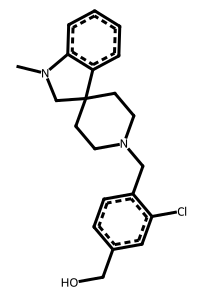 CN1CC2(CCN(Cc3ccc(CO)cc3Cl)CC2)c2ccccc21